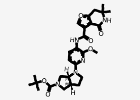 COc1nc(N2CC[C@@H]3CN(C(=O)OC(C)(C)C)C[C@@H]32)ccc1NC(=O)c1coc2c1C(=O)NC(C)(C)C2